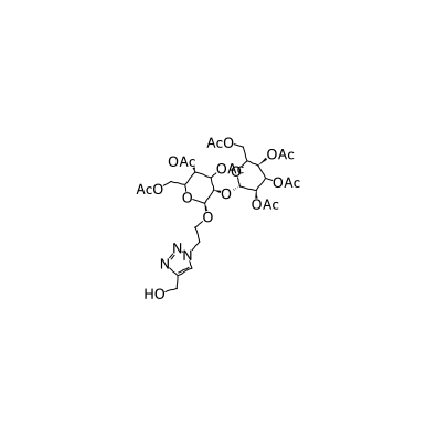 CC(=O)OCC1O[C@@H](O[C@@H]2C(OC(C)=O)[C@H](OC(C)=O)C(COC(C)=O)O[C@@H]2OCCn2cc(CO)nn2)[C@H](OC(C)=O)C(OC(C)=O)[C@@H]1OC(C)=O